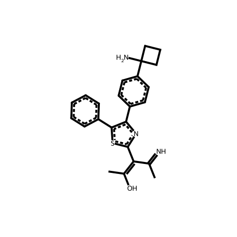 CC(=N)/C(=C(/C)O)c1nc(-c2ccc(C3(N)CCC3)cc2)c(-c2ccccc2)s1